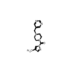 Cc1cnn(C(=O)N2CCN(Cc3cncnc3)CC2)c1